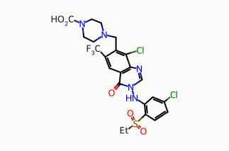 CCS(=O)(=O)c1ccc(Cl)cc1Nn1cnc2c(Cl)c(CN3CCN(C(=O)O)CC3)c(C(F)(F)F)cc2c1=O